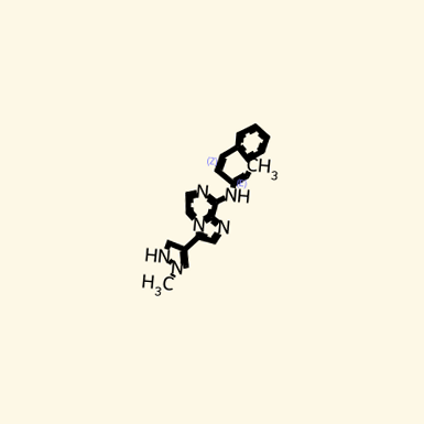 C/C=C(\C=C/c1ccccc1)Nc1nccn2c(C3=CN(C)NC3)cnc12